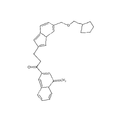 C=C1C=C(C(=O)CCC2=CC3C=C(COCC4CCCC4)C=CC3=C2)C=C2C=CC=CC12